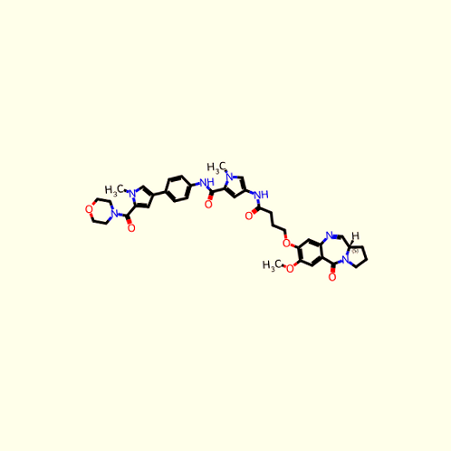 COc1cc2c(cc1OCCCC(=O)Nc1cc(C(=O)Nc3ccc(-c4cc(C(=O)N5CCOCC5)n(C)c4)cc3)n(C)c1)N=C[C@@H]1CCCN1C2=O